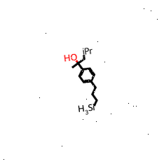 CC(C)CC(C)(O)c1ccc(CCC[SiH3])cc1